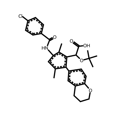 Cc1cc(NC(=O)c2ccc(Cl)cc2)c(C)c(C(OC(C)(C)C)C(=O)O)c1-c1ccc2c(c1)CCCO2